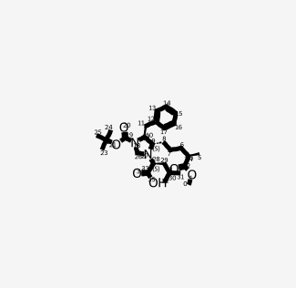 COC(=O)[C@H](C)CCC[C@H]1[C@H](Cc2ccccc2)N(C(=O)OC(C)(C)C)CN1[C@@H](CC(C)C)C(=O)O